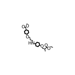 CCOC(=O)C(C)COc1ccc(NCCCOc2ccc(C(=O)OC)cc2)cc1